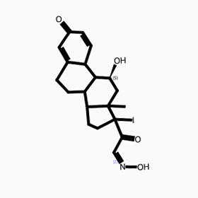 CC12C[C@H](O)C3C4C=CC(=O)C=C4CCC3C1CCC2(I)C(=O)/C=N\O